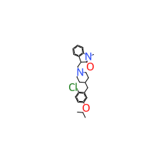 CC(C)Oc1ccc(Cl)c(CC2CCN(CC3C(=O)N(C)c4ccccc43)CC2)c1